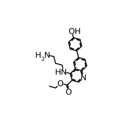 CCOC(=O)c1cnc2ccc(-c3ccc(O)cc3)cc2c1NCCCN